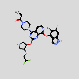 C=CC(=O)N1CCN(c2nc(O[C@@H]3CNCC3OCC(F)F)nc3c(Oc4c(Cl)c(F)cc5[nH]ncc45)nccc23)CC1